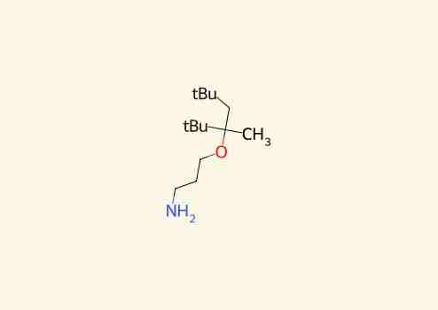 CC(C)(C)CC(C)(OCCCN)C(C)(C)C